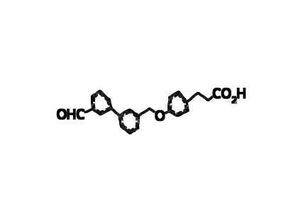 O=Cc1cccc(-c2cccc(COc3ccc(CCC(=O)O)cc3)c2)c1